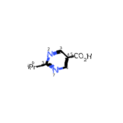 CC(C)c1ncc(C(=O)O)cn1